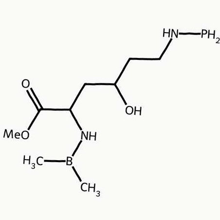 COC(=O)C(CC(O)CCNP)NB(C)C